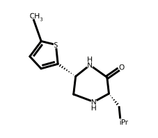 Cc1ccc([C@H]2CN[C@@H](CC(C)C)C(=O)N2)s1